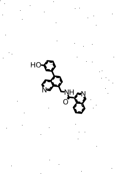 O=C(NCc1ccc(-c2cccc(O)c2)c2ccncc12)c1cncc2ccccc12